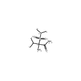 CC(C)C(N)(C(N)=O)S(=O)(=O)N(C)C